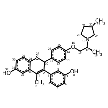 CC1=C(c2cccc(O)c2)C(c2ccc(OC[C@H](C)N3CC[C@@H](C)C3)cc2)Sc2ccc(O)cc21